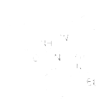 CC/C(C)=N/O/C(=N\C1CCCCC1)N(C(=O)Nc1ccccc1)C1CCCCC1